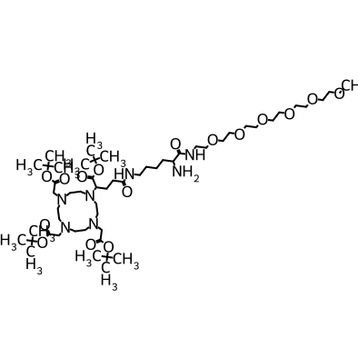 COCCOCCOCCOCCOCCOCCNC(=O)C(N)CCCCNC(=O)CCC(C(=O)OC(C)(C)C)N1CCN(CC(=O)OC(C)(C)C)CCN(CC(=O)OC(C)(C)C)CCN(CC(=O)OC(C)(C)C)CC1